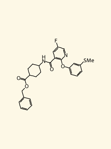 CSc1cccc(Oc2ncc(F)cc2C(=O)NC2CCC(C(=O)OCc3ccccc3)CC2)c1